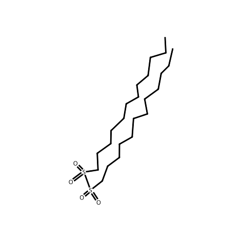 CCCCCCCCCCCCS(=O)(=O)S(=O)(=O)CCCCCCCCCCCC